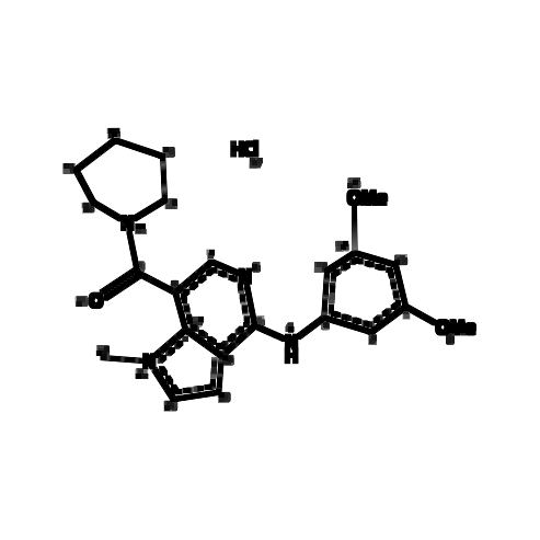 COc1cc(Nc2ncc(C(=O)N3CCCCC3)c3c2ccn3C)cc(OC)c1.Cl